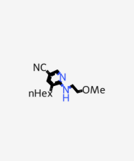 CCCCCCc1cc(C#N)cnc1NCCOC